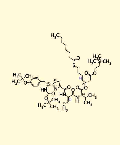 C/C=C(\NC(=O)c1csc([C@@H](Cc2ccc(OC(C)(C)C)cc2)NC(=O)OC(C)(C)C)n1)C(=O)N[C@H](C(=O)O[C@H](/C=C/CCSC(=O)CCCCCCC)CC(=O)OCC[Si](C)(C)C)C(C)C